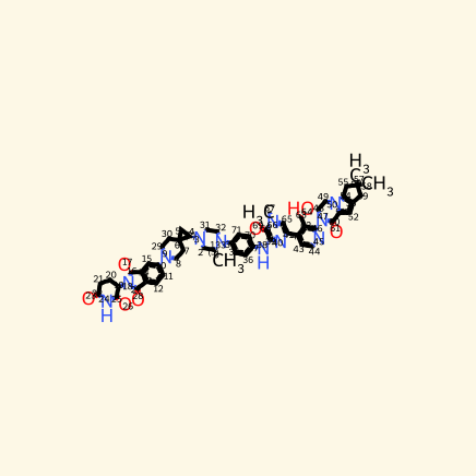 C[C@H]1CN([C@@H]2CC23CCN(c2ccc4c(c2)C(=O)N(C2CCC(=O)NC2=O)C4=O)CC3)CCN1c1ccc(Nc2nc(-c3ccnc(N4CCn5c(cc6c5CC(C)(C)C6)C4=O)c3CO)cn(C)c2=O)cc1